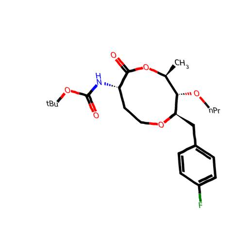 CCCO[C@H]1[C@H](C)OC(=O)[C@@H](NC(=O)OC(C)(C)C)CCO[C@@H]1Cc1ccc(F)cc1